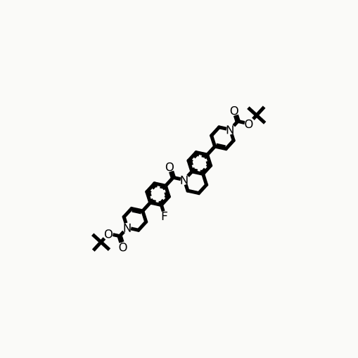 CC(C)(C)OC(=O)N1CC=C(c2ccc3c(c2)CCCN3C(=O)c2ccc(C3=CCN(C(=O)OC(C)(C)C)CC3)c(F)c2)CC1